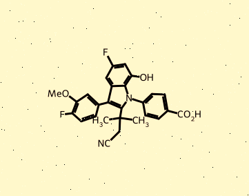 COc1cc(-c2c(C(C)(C)CC#N)n(-c3ccc(C(=O)O)cc3)c3c(O)cc(F)cc23)ccc1F